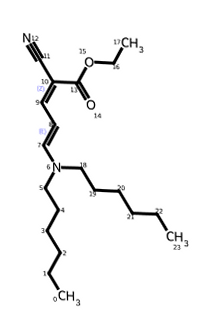 CCCCCCN(/C=C/C=C(/C#N)C(=O)OCC)CCCCCC